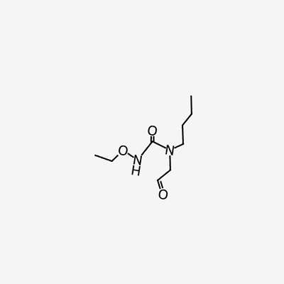 CCCCN(CC=O)C(=O)NOCC